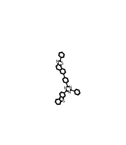 c1ccc(-c2nc(-c3ccc(-c4ccc5c(ccc6nc(-c7ccccc7)sc65)c4)cc3)nc(-c3ccc4c(c3)sc3ccccc34)n2)cc1